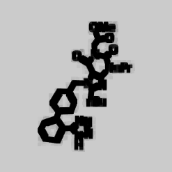 CCCCc1nc2c(c(=O)n(CC(=O)OC)c(=O)n2CCC)n1Cc1ccc(-c2ccccc2-c2nnn[nH]2)cc1